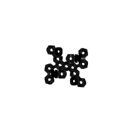 c1ccc(-n2c3ccccc3c3cccc(-c4cc5cc6c(cc(-c7cccc8c9ccccc9n(-c9ccccc9)c78)c7cc8c(cc76)oc6ccccc68)cc5c5cc6oc7ccccc7c6cc45)c32)cc1